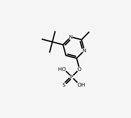 Cc1nc(OP(O)(O)=S)cc(C(C)(C)C)n1